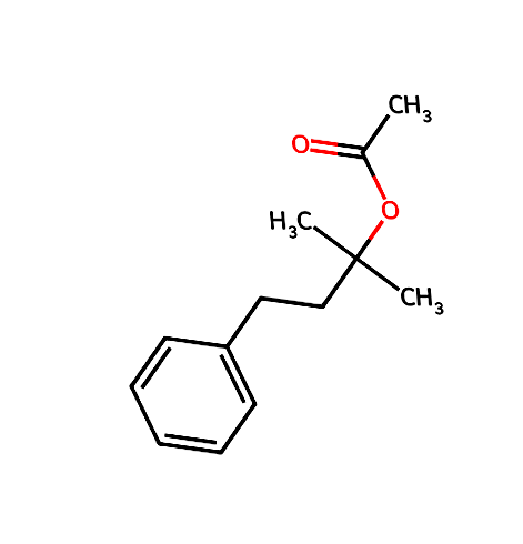 CC(=O)OC(C)(C)CCc1ccccc1